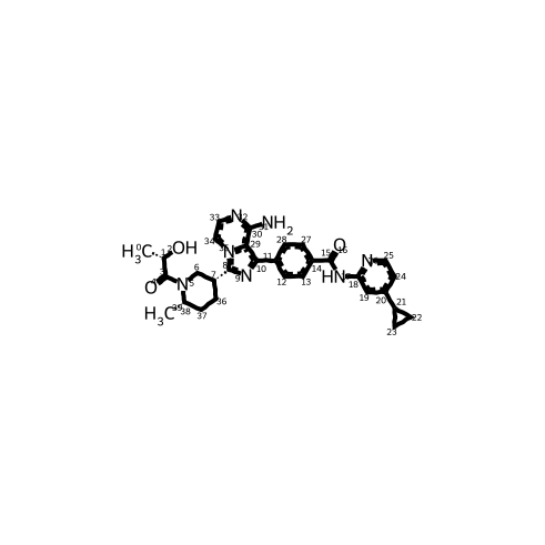 C[C@H](O)C(=O)N1C[C@H](c2nc(-c3ccc(C(=O)Nc4cc(C5CC5)ccn4)cc3)c3c(N)nccn23)CC[C@@H]1C